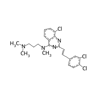 CN(C)CCCN(C)c1nc(/C=C/c2ccc(Cl)c(Cl)c2)nc2c(Cl)cccc12